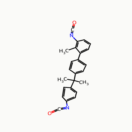 Cc1c(N=C=O)cccc1-c1ccc(C(C)(C)c2ccc(N=C=O)cc2)cc1